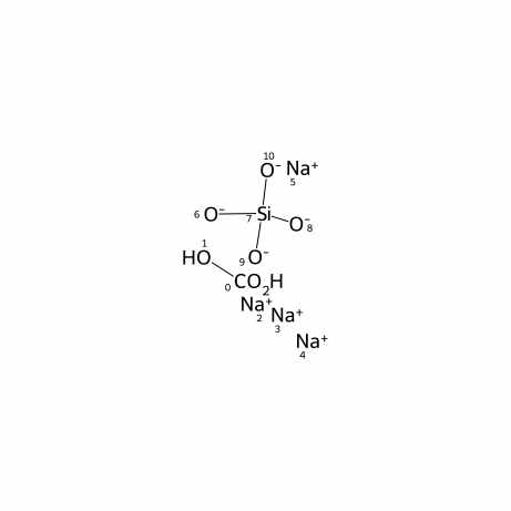 O=C(O)O.[Na+].[Na+].[Na+].[Na+].[O-][Si]([O-])([O-])[O-]